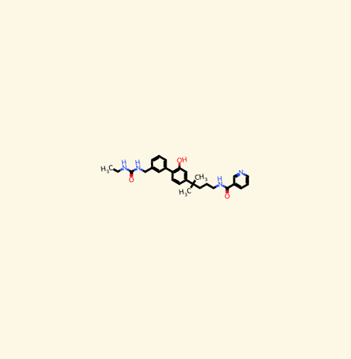 CCNC(=O)NCc1cccc(-c2ccc(C(C)(C)CCCNC(=O)c3cccnc3)cc2O)c1